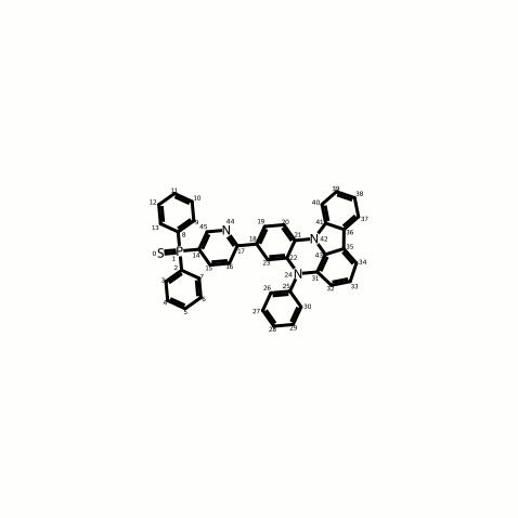 S=P(c1ccccc1)(c1ccccc1)c1ccc(-c2ccc3c(c2)N(c2ccccc2)c2cccc4c5ccccc5n-3c24)nc1